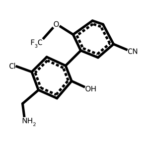 N#Cc1ccc(OC(F)(F)F)c(-c2cc(Cl)c(CN)cc2O)c1